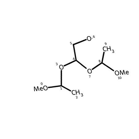 COC(C)OC(C[O])OC(C)OC